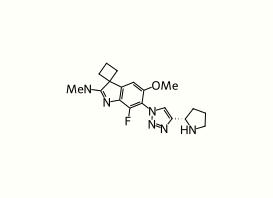 CNC1=Nc2c(cc(OC)c(-n3cc([C@@H]4CCCN4)nn3)c2F)C12CCC2